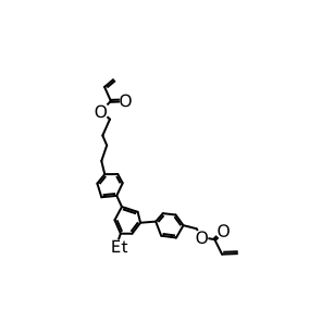 C=CC(=O)OCCCCc1ccc(-c2cc(CC)cc(-c3ccc(COC(=O)C=C)cc3)c2)cc1